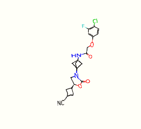 N#CC1CC([C@H]2CN(C34CC(NC(=O)COc5ccc(Cl)c(F)c5)(C3)C4)C(=O)O2)C1